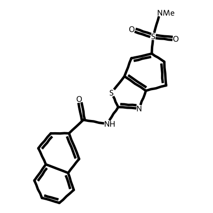 CNS(=O)(=O)c1ccc2nc(NC(=O)c3ccc4ccccc4c3)sc2c1